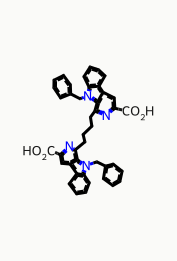 O=C(O)c1cc2c3ccccc3n(Cc3ccccc3)c2c(CCCCc2nc(C(=O)O)cc3c4ccccc4n(Cc4ccccc4)c23)n1